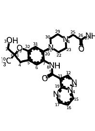 C[C@]1(CO)Cc2cc(NC(=O)c3cnn4cccnc34)c(N3CCN(CC(N)=O)CC3)cc2O1